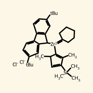 CC1=[C]([Zr+2](=[C]2CCCCC2)[CH]2c3cc(C(C)(C)C)ccc3-c3ccc(C(C)(C)C)cc32)C(C)C=C1[Si](C)(C)C.[Cl-].[Cl-]